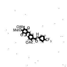 COC1=C(OC)C(=O)C(Cc2ccc(OC(C)=O)c(C(=O)Nc3ccc(C(F)(F)F)cc3)c2)=C(C)C1=O